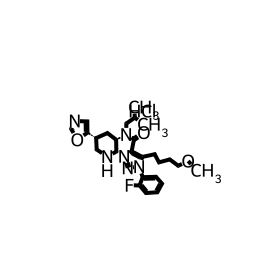 COCCCCc1c(C(=O)N(CC(C)C)[C@@H]2CNC[C@H](c3cnco3)C2)nnn1-c1ccccc1F.Cl